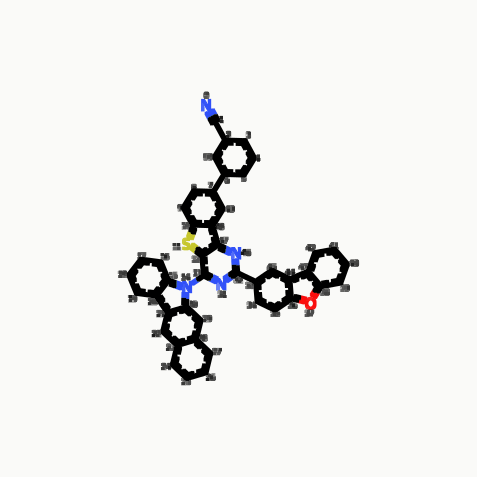 N#Cc1cccc(-c2ccc3sc4c(-n5c6ccccc6c6cc7ccccc7cc65)nc(-c5ccc6oc7ccccc7c6c5)nc4c3c2)c1